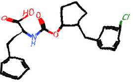 O=C(N[C@@H](Cc1ccccc1)C(=O)O)OC1CCCC1Cc1cccc(Cl)c1